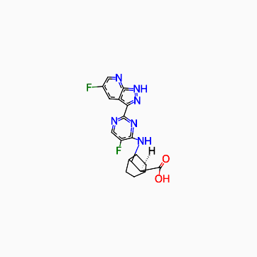 O=C(O)[C@H]1C2CCC(CC2)C1Nc1nc(-c2n[nH]c3ncc(F)cc23)ncc1F